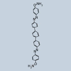 NOc1ccc(/N=N/c2ccc(-c3ccc(-c4ccc(/N=N/c5ccc(ON)cc5)cc4)cc3)cc2)cc1